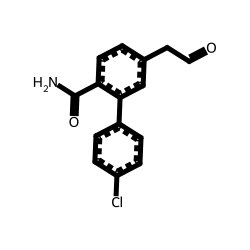 NC(=O)c1ccc(CC=O)cc1-c1ccc(Cl)cc1